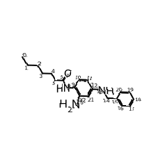 CCCCCCC(=O)Nc1ccc(NCc2ccccc2)cc1N